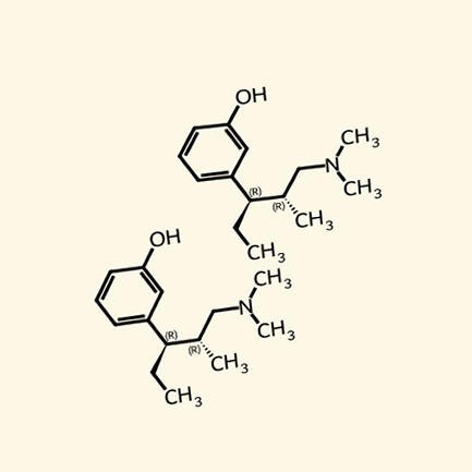 CC[C@@H](c1cccc(O)c1)[C@@H](C)CN(C)C.CC[C@@H](c1cccc(O)c1)[C@@H](C)CN(C)C